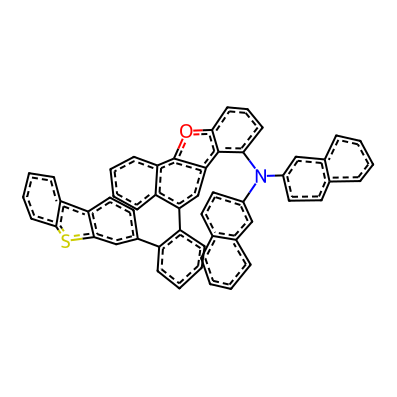 c1ccc(-c2cc3c(oc4cccc(N(c5ccc6ccccc6c5)c5ccc6ccccc6c5)c43)c3ccccc23)c(-c2ccc3c(c2)sc2ccccc23)c1